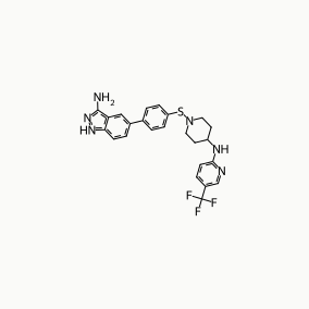 Nc1n[nH]c2ccc(-c3ccc(SN4CCC(Nc5ccc(C(F)(F)F)cn5)CC4)cc3)cc12